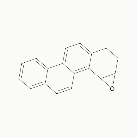 c1ccc2c(c1)ccc1c3c(ccc12)CCC1OC31